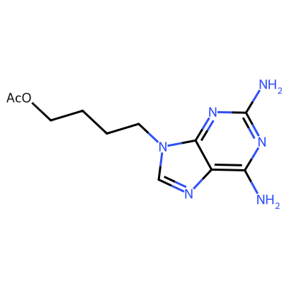 CC(=O)OCCCCn1cnc2c(N)nc(N)nc21